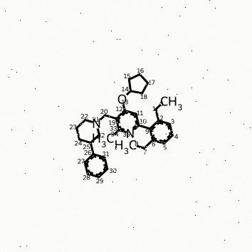 CCc1cccc(CC)c1-c1cc(OC2CCCC2)c(CN2CCCC(c3ccccc3)C2)c(C)n1